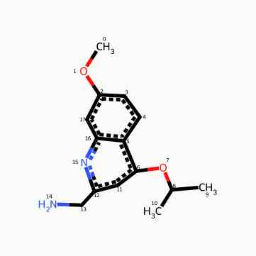 COc1ccc2c(OC(C)C)cc(CN)nc2c1